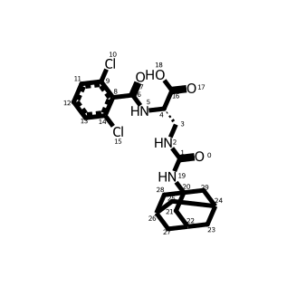 O=C(NC[C@H](NC(=O)c1c(Cl)cccc1Cl)C(=O)O)NC12CC3CC(CC(C3)C1)C2